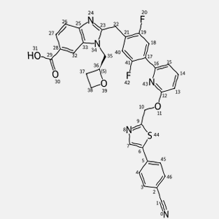 N#Cc1ccc(-c2cnc(COc3cccc(-c4cc(F)c(Cc5nc6ccc(C(=O)O)cc6n5C[C@@H]5CCO5)cc4F)n3)s2)cc1